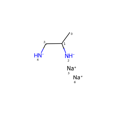 CC([NH-])C[NH-].[Na+].[Na+]